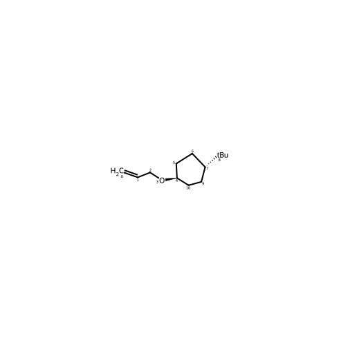 C=CCO[C@H]1CC[C@H](C(C)(C)C)CC1